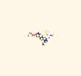 C[C@H](O)[C@@H](CCN[C@]12CC[C@@H](C3(C)CC3)[C@@H]1[C@H]1CC[C@@H]3[C@@]4(C)CC[C@H](OC(=O)CC(C)(C)CC(=O)O)C(C)(C)[C@@H]4CC[C@@]3(C)[C@]1(C)CC2)N1CCS(=O)(=O)CC1